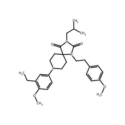 CCc1cc(N2CCC3(CC2)C(=O)N(CC(C)C)C(=O)N3CCc2ccc(OC)cc2)ccc1OC